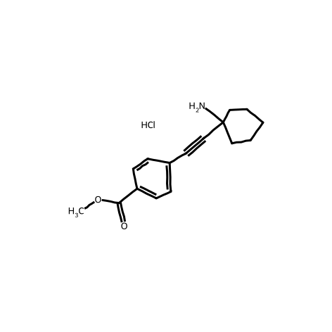 COC(=O)c1ccc(C#CC2(N)CCCCC2)cc1.Cl